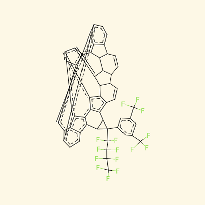 FC(F)(F)c1cc(C(F)(F)F)cc(C2(C(F)(F)C(F)(F)C(F)(F)C(F)(F)F)C3c4c5c6c7c4c4c(c8ccc9c%10ccc%11c%12c%13c%14c(c7c7c%14c(c%12%10)c9c8c47)=C4C6C(C=C5)C5C=CC%11C%13C45)C32)c1